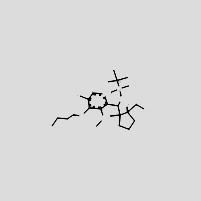 CCCCOc1c(Br)cnc(C(O[Si](C)(C)C(C)(C)C)C2(C)CCCC2(O)CO)c1OC